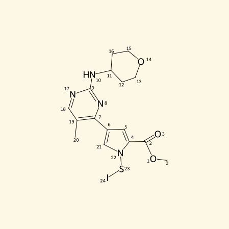 COC(=O)c1cc(-c2nc(NC3CCOCC3)ncc2C)cn1SI